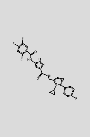 O=C(NCc1cnn(-c2ccc(F)cc2)c1C1CC1)c1cc(NC(=O)c2cc(F)c(F)cc2Cl)[nH]n1